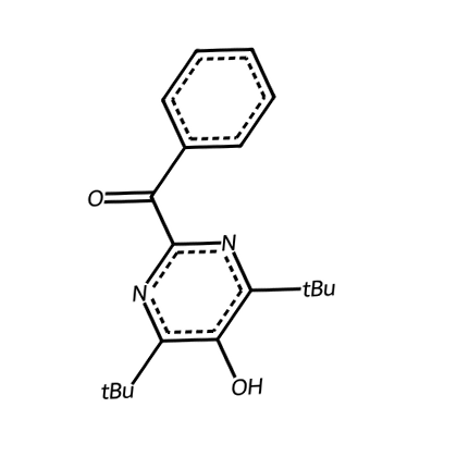 CC(C)(C)c1nc(C(=O)c2ccccc2)nc(C(C)(C)C)c1O